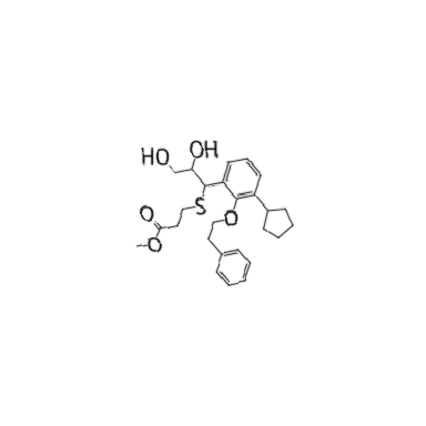 COC(=O)CCSC(c1cccc(C2CCCC2)c1OCCc1ccccc1)C(O)CO